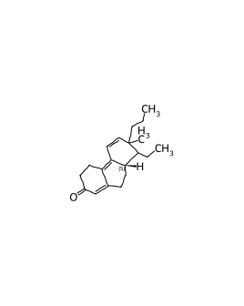 CCCC1(C)C=CC2=C3CCC(=O)C=C3CC[C@H]2C1CC